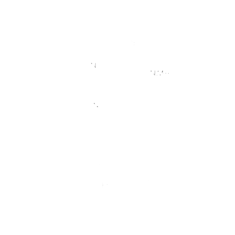 CNC(=O)[C@@H]1CN(c2ccc(C(C)C)c(C3CC3)c2)CCN1C